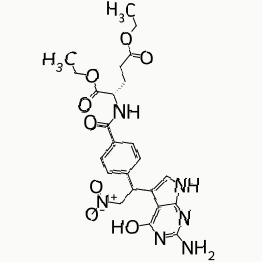 CCOC(=O)CC[C@H](NC(=O)c1ccc(C(C[N+](=O)[O-])c2c[nH]c3nc(N)nc(O)c23)cc1)C(=O)OCC